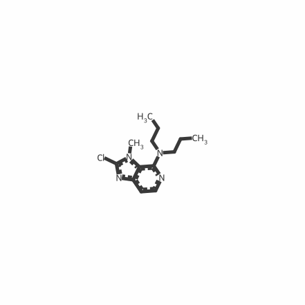 CCCN(CCC)c1nccc2nc(Cl)n(C)c12